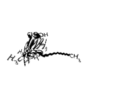 CCCCCCCCCCCCCCCCCC(=O)OC[C@H]1O[C@H](O)[C@H](NC(C)=O)[C@@H](OC(C)CN(C(=O)C(N)CC)[C@H](CCC(=O)O)C(N)=O)[C@@H]1O